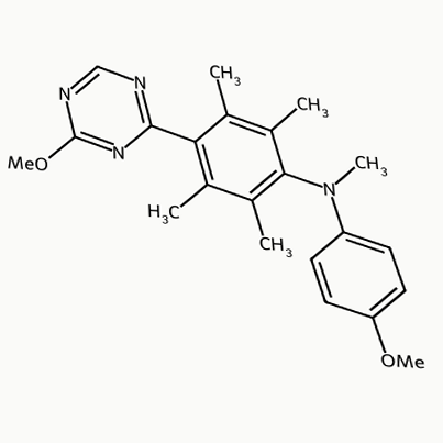 COc1ccc(N(C)c2c(C)c(C)c(-c3ncnc(OC)n3)c(C)c2C)cc1